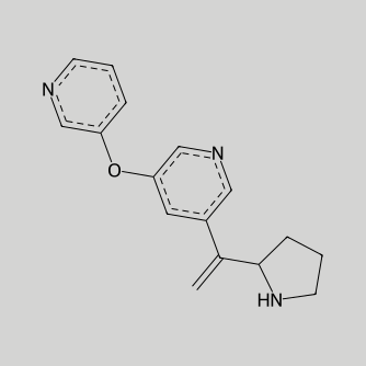 C=C(c1cncc(Oc2cccnc2)c1)C1CCCN1